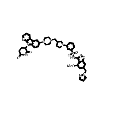 COc1cc(Cn2cccn2)cc2onc(NS(=O)(=O)c3cccc(N4CCC(CN5CCN(c6ccc7c(c6)c6cccnc6n7C6CCC(=O)NC6=O)CC5)C4)c3)c12